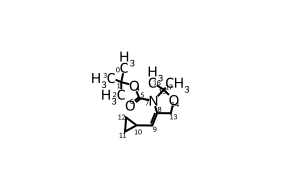 CC(C)(C)OC(=O)N1C(=CC2CC2)COC1(C)C